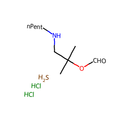 CCCCCNCC(C)(C)OC=O.Cl.Cl.S